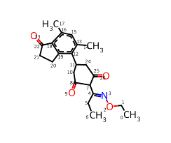 CCON=C(CC)C1C(=O)CC(c2c(C)cc(C)c3c2CCC3=O)CC1=O